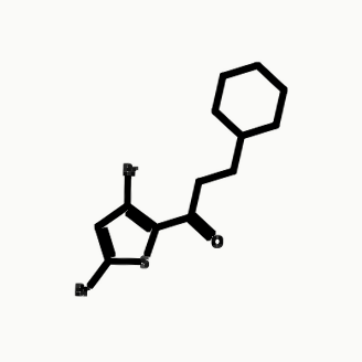 O=C(CCC1CCCCC1)c1sc(Br)cc1Br